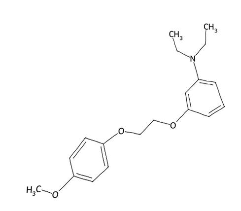 CCN(CC)c1cccc(OCCOc2ccc(OC)cc2)c1